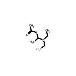 CCN(CC)C(C)SC(C)=O